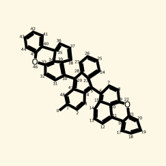 Cc1ccc2c(-c3ccc4c5c(cccc35)-c3ccccc3O4)c3ccccc3c(-c3ccc4c5c(cccc35)-c3ccccc3O4)c2c1